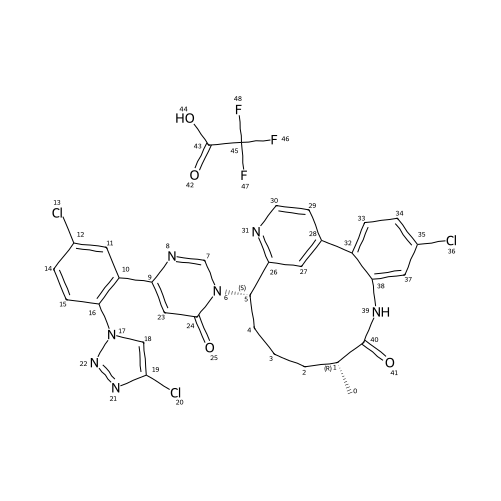 C[C@@H]1CCC[C@H](n2cnc(-c3cc(Cl)ccc3-n3cc(Cl)nn3)cc2=O)c2cc(ccn2)-c2ccc(Cl)cc2NC1=O.O=C(O)C(F)(F)F